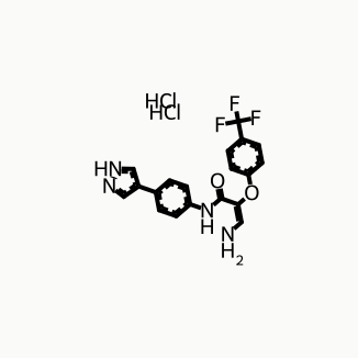 Cl.Cl.NC=C(Oc1ccc(C(F)(F)F)cc1)C(=O)Nc1ccc(-c2cn[nH]c2)cc1